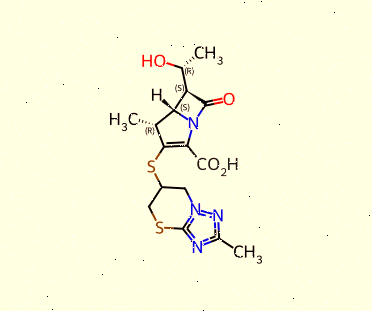 Cc1nc2n(n1)CC(SC1=C(C(=O)O)N3C(=O)[C@H]([C@@H](C)O)[C@H]3[C@H]1C)CS2